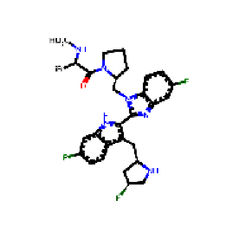 CC(C)C(NC(=O)O)C(=O)N1CCC[C@H]1Cn1c(-c2[nH]c3cc(F)ccc3c2C[C@@H]2C[C@H](F)CN2)nc2cc(F)ccc21